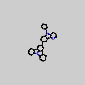 c1ccc(-n2c3ccc(-c4cc5c6ccccc6n6c7ccccc7c(c4)c56)cc3c3ncccc32)cc1